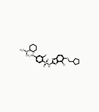 CN(C)[C@H]1CCCC[C@@H]1Nc1ccc(S(=O)(=O)Nc2nc3ccc(OCC4CCCC4)c(Cl)c3s2)c(F)c1